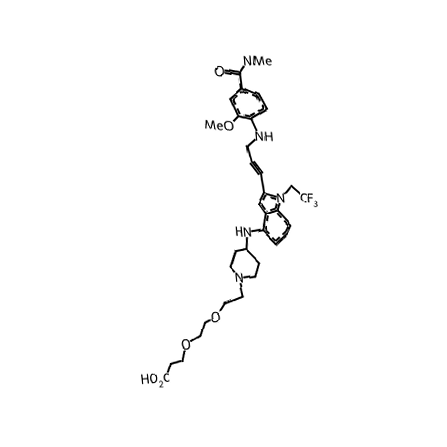 CNC(=O)c1ccc(NCC#Cc2cc3c(NC4CCN(CCOCCOCCC(=O)O)CC4)cccc3n2CC(F)(F)F)c(OC)c1